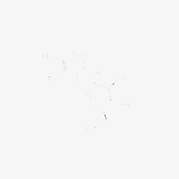 CC(=O)OC[C@H]1O[C@H](Oc2cccc(O)c2C(C)=O)[C@H](OC(C)=O)[C@@H](OC(C)=O)[C@@H]1OC(C)=O